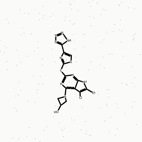 CCc1[nH]c2nc(Sc3nc(-c4nnn[nH]4)cs3)nc(N3CC(O)C3)c2c1Cl